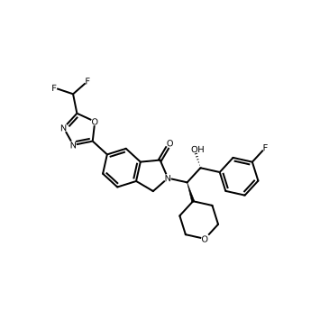 O=C1c2cc(-c3nnc(C(F)F)o3)ccc2CN1[C@H](C1CCOCC1)[C@H](O)c1cccc(F)c1